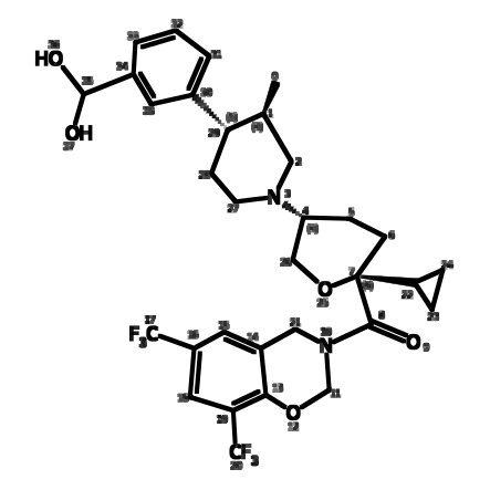 C[C@H]1CN([C@@H]2CC[C@@](C(=O)N3COc4c(cc(C(F)(F)F)cc4C(F)(F)F)C3)(C3CC3)OC2)CC[C@@H]1c1cccc(C(O)O)c1